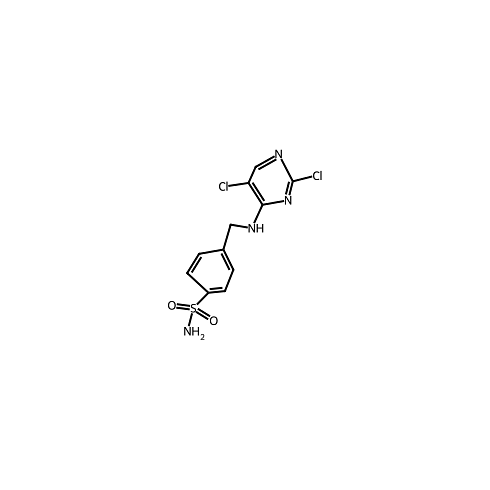 NS(=O)(=O)c1ccc(CNc2nc(Cl)ncc2Cl)cc1